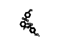 CC(C)N1CCC(S(=O)(=O)[C@H]2CCCC(F)(F)[C@@H]2NS(=O)(=O)c2ccc([N+](=O)[O-])cc2)CC1